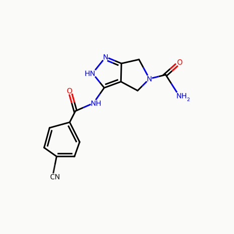 N#Cc1ccc(C(=O)Nc2[nH]nc3c2CN(C(N)=O)C3)cc1